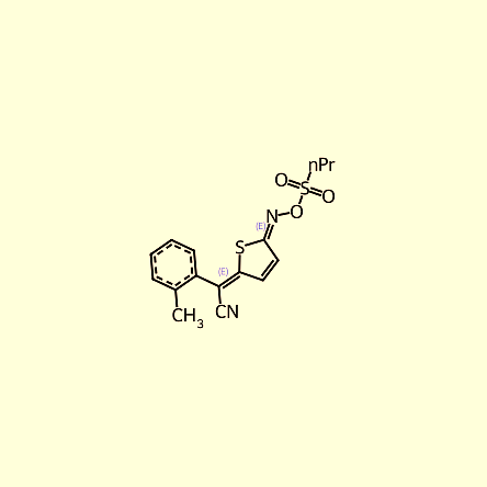 CCCS(=O)(=O)O/N=C1C=C/C(=C(\C#N)c2ccccc2C)S\1